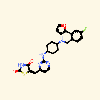 O=C1NC(=O)/C(=C\c2ccnc(NC3CCC(NCc4ccc(F)cc4-c4ccco4)CC3)n2)S1